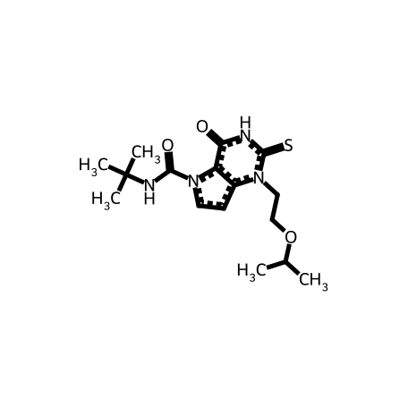 CC(C)OCCn1c(=S)[nH]c(=O)c2c1ccn2C(=O)NC(C)(C)C